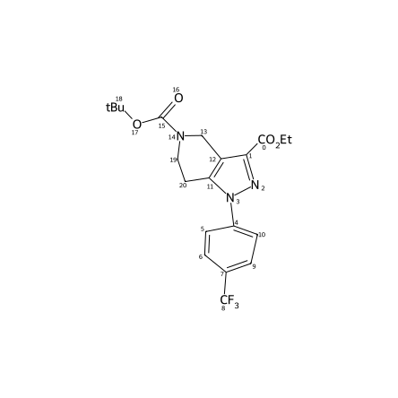 CCOC(=O)c1nn(-c2ccc(C(F)(F)F)cc2)c2c1CN(C(=O)OC(C)(C)C)CC2